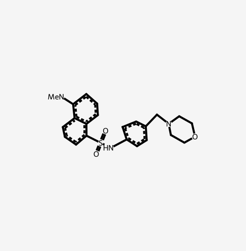 CNc1cccc2c(S(=O)(=O)Nc3ccc(CN4CCOCC4)cc3)cccc12